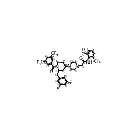 Cc1cccc(C)c1NC(=O)CN1CCN(C2CCN(C(=O)c3cc(C(F)(F)F)cc(C(F)(F)F)c3)C(Cc3cc(F)cc(F)c3)C2)CC1